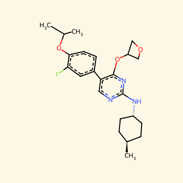 CC(C)Oc1ccc(-c2cnc(N[C@H]3CC[C@H](C)CC3)nc2OC2COC2)cc1F